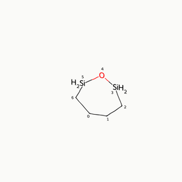 C1CC[SiH2]O[SiH2]C1